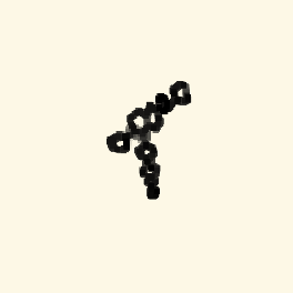 O=C1CC2(CCN(c3ccc([C@@H]4c5ccc(OCc6ccccc6)cc5CC[C@@H]4c4ccccc4)cc3)CC2)C1